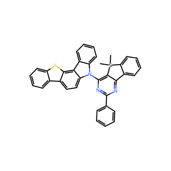 C[Si]1(C)c2ccccc2-c2nc(-c3ccccc3)nc(-n3c4ccccc4c4c5sc6ccccc6c5ccc43)c21